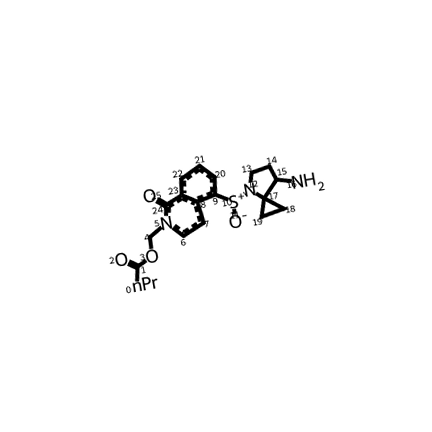 CCCC(=O)OCn1ccc2c([S+]([O-])N3CCC(N)C34CC4)cccc2c1=O